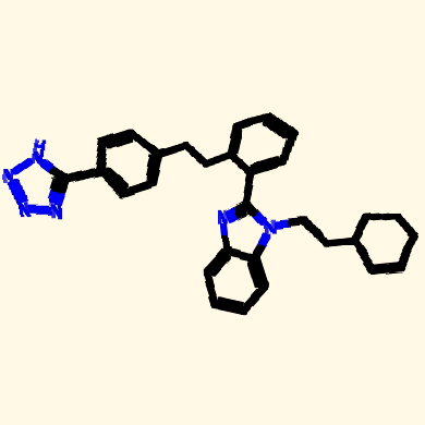 c1ccc(-c2nc3ccccc3n2CCC2CCCCC2)c(CCc2ccc(-c3nnn[nH]3)cc2)c1